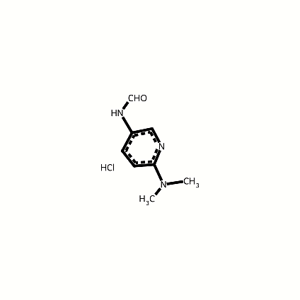 CN(C)c1ccc(NC=O)cn1.Cl